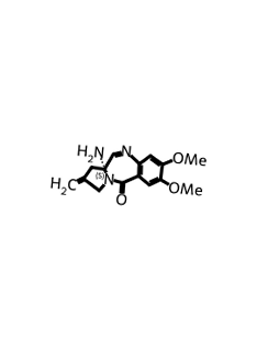 C=C1CN2C(=O)c3cc(OC)c(OC)cc3N=C[C@]2(N)C1